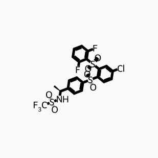 C[C@H](NS(=O)(=O)C(F)(F)F)c1ccc(S(=O)(=O)c2ccc(Cl)cc2S(=O)(=O)c2c(F)cccc2F)cc1